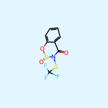 O=C1c2ccccc2OS(=O)N1SC(F)(F)F